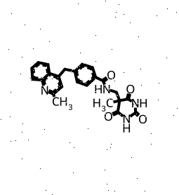 Cc1cc(Cc2ccc(C(=O)NCC3(C)C(=O)NC(=O)NC3=O)cc2)c2ccccc2n1